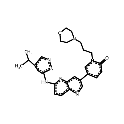 CC(C)c1cnnc(Nc2ccc3ncc(-c4ccc(=O)n(CCCN5CCOCC5)c4)cc3n2)c1